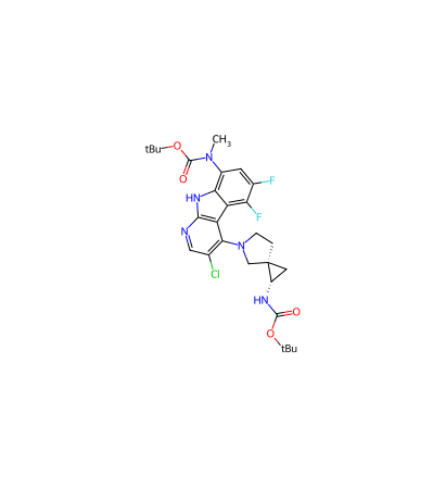 CN(C(=O)OC(C)(C)C)c1cc(F)c(F)c2c1[nH]c1ncc(Cl)c(N3CC[C@@]4(C[C@@H]4NC(=O)OC(C)(C)C)C3)c12